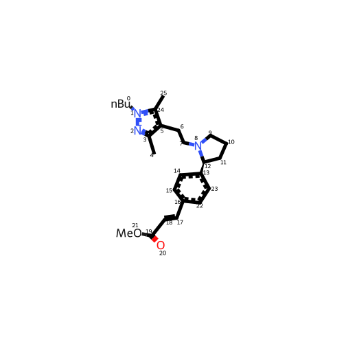 CCCCn1nc(C)c(CCN2CCC[C@H]2c2ccc(/C=C/C(=O)OC)cc2)c1C